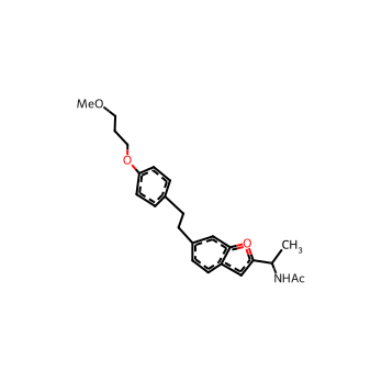 COCCCOc1ccc(CCc2ccc3cc(C(C)NC(C)=O)oc3c2)cc1